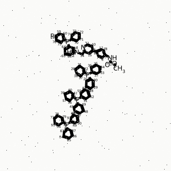 COC(=O)Nc1ccc(-c2ccnc(CN)c2)cc1.[Pd].c1ccc(P(c2ccccc2)c2ccccc2)cc1.c1ccc(P(c2ccccc2)c2ccccc2)cc1.c1ccc(P(c2ccccc2)c2ccccc2)cc1.c1ccc(P(c2ccccc2)c2ccccc2)cc1